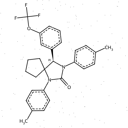 Cc1ccc(N2C(=O)N(c3ccc(C)cc3)C3(CCCC3)[C@H]2c2cccc(OC(F)(F)F)c2)cc1